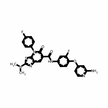 CN(C)c1nc2cc(C(=O)Nc3ccc(Oc4ccnc(N)c4)c(F)c3)c(=O)n(-c3ccc(F)cc3)c2s1